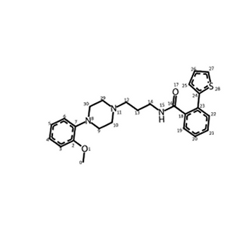 COc1ccccc1N1CCN(CCCNC(=O)c2ccccc2-c2cccs2)CC1